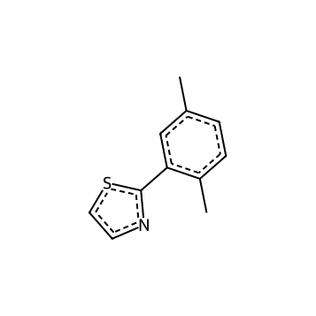 Cc1ccc(C)c(-c2nccs2)c1